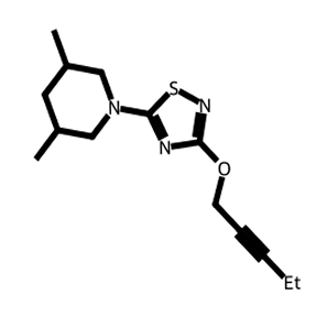 CCC#CCOc1nsc(N2CC(C)CC(C)C2)n1